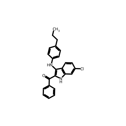 CCCc1ccc(Nc2c(C(=O)c3ccccc3)[nH]c3cc(Cl)ccc23)cc1